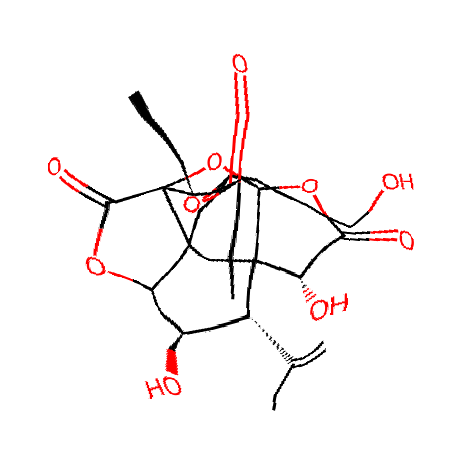 C=C(C)[C@@H]1[C@@H](O)C2OC(=O)C34OC5OC(=O)[C@H](O)C51C23CC(CO)OC(=O)[C@H]4C